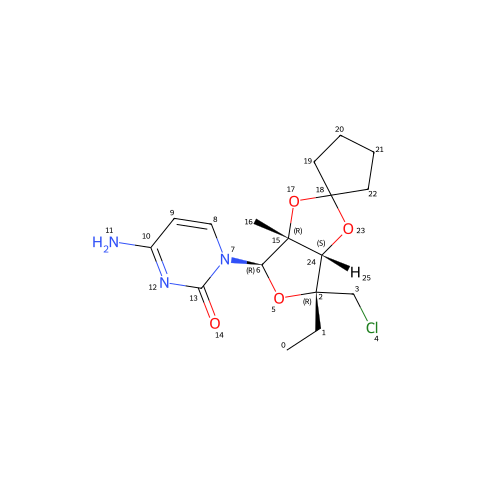 CC[C@@]1(CCl)O[C@@H](n2ccc(N)nc2=O)[C@]2(C)OC3(CCCC3)O[C@H]12